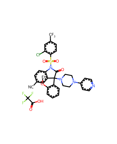 CCOc1ccccc1C1(N2CCN(c3ccncc3)CC2)C(=O)N(S(=O)(=O)c2ccc(C(F)(F)F)cc2Cl)c2ccc(C#N)cc21.O=C(O)C(F)(F)F